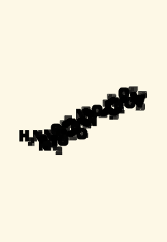 CC(N=C(N)N)S(=O)(=O)N1CCN(c2cnc(OCC3CCN(C(=O)OC4(C)CC4)CC3)cn2)C(=O)C1